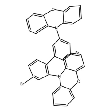 Brc1cc(-c2ccc(Br)cc2N2c3ccccc3Oc3ccccc32)cc(N2c3ccccc3Oc3ccccc32)c1